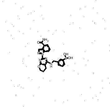 NC(=O)c1cccc2c1cnn2-c1nc(NCc2cccc(B(O)O)c2)c2c(n1)OCCC2